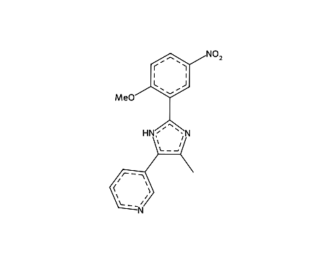 COc1ccc([N+](=O)[O-])cc1-c1nc(C)c(-c2cccnc2)[nH]1